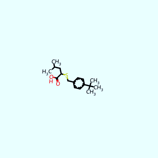 CC(C)CC(SCc1ccc(C(C)(C)C)cc1)C(=O)O